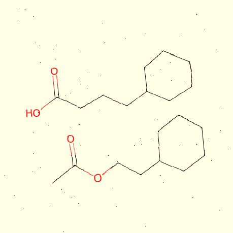 CC(=O)OCCC1CCCCC1.O=C(O)CCCC1CCCCC1